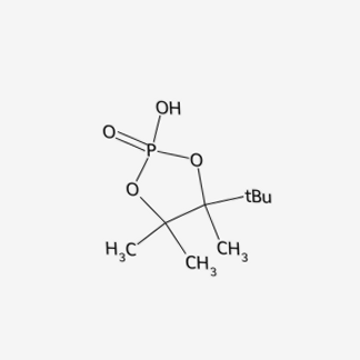 CC(C)(C)C1(C)OP(=O)(O)OC1(C)C